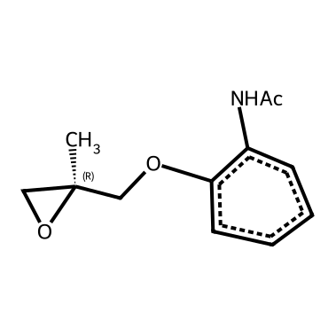 CC(=O)Nc1ccccc1OC[C@]1(C)CO1